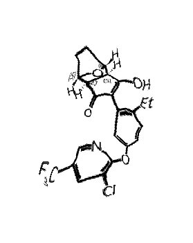 CCc1ccc(Oc2ncc(C(F)(F)F)cc2Cl)cc1C1=C(O)[C@H]2[C@@H](C1=O)[C@@H]1CC[C@H]2O1